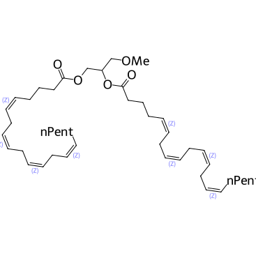 CCCCC/C=C\C/C=C\C/C=C\C/C=C\CCCC(=O)OCC(COC)OC(=O)CCC/C=C\C/C=C\C/C=C\C/C=C\CCCCC